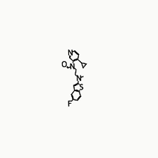 CN(CCN(C=O)c1cnccc1C1CC1)c1cc2cc(F)ccc2s1